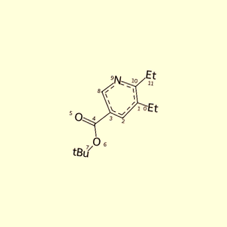 CCc1cc(C(=O)OC(C)(C)C)cnc1CC